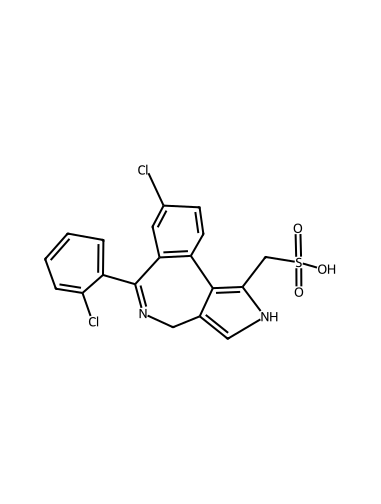 O=S(=O)(O)Cc1[nH]cc2c1-c1ccc(Cl)cc1C(c1ccccc1Cl)=NC2